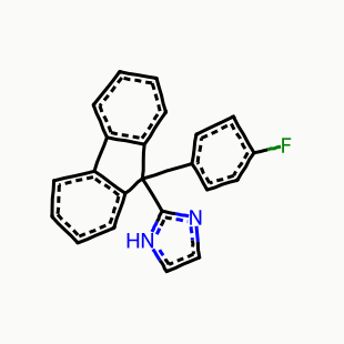 Fc1ccc(C2(c3ncc[nH]3)c3ccccc3-c3ccccc32)cc1